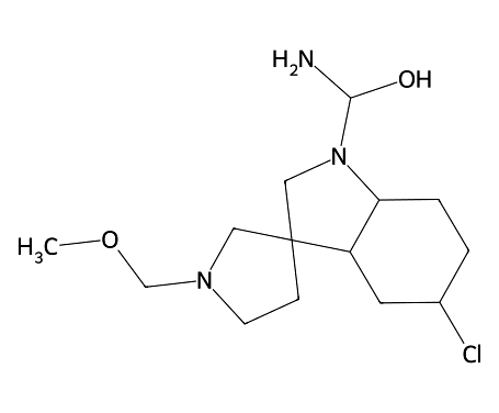 COCN1CCC2(C1)CN(C(N)O)C1CCC(Cl)CC12